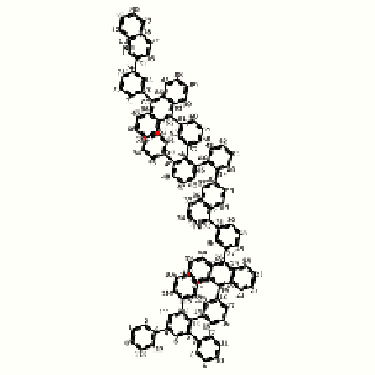 c1ccc(-c2cc(-c3ccccc3)c(-c3cccc(-c4c5ccccc5c(-c5cccc(-c6nccc7cc(-c8ccccc8-c8cccc(-c9ccccc9)c8-c8cccc(-c9c%10ccccc%10c(-c%10cccc(-c%11ccc%12ccccc%12n%11)c%10)c%10ccccc9%10)c8)ccc67)c5)c5ccccc45)c3)c(-c3ccccc3)c2)cc1